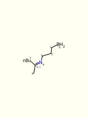 BCCC/N=C(/C)CCCC